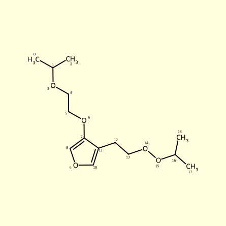 CC(C)OCCOc1cocc1CCOOC(C)C